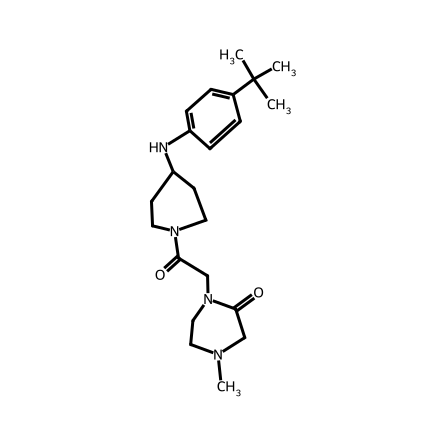 CN1CCN(CC(=O)N2CCC(Nc3ccc(C(C)(C)C)cc3)CC2)C(=O)C1